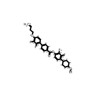 C=CCCOc1ccc(-c2ccc(C(=O)Oc3ccc(C4CCC(OCC)CC4)c(F)c3F)cc2)c(F)c1F